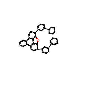 c1ccc(-c2cccc(-c3ccc4c5ccccc5c5ccc(-c6cccc(-c7ccccc7)c6)c6oc3c4c65)c2)cc1